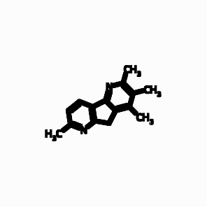 Cc1ccc2c(n1)Cc1c-2nc(C)c(C)c1C